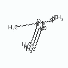 CCCCCCCCCCCCCCN(CCCCCCCCCCCCCC)C(=O)CCN(CCCCN1CCN(C)CC1)CCC(=O)N(CCCCCCCCCCCCCC)CCCCCCCCCCCCCC